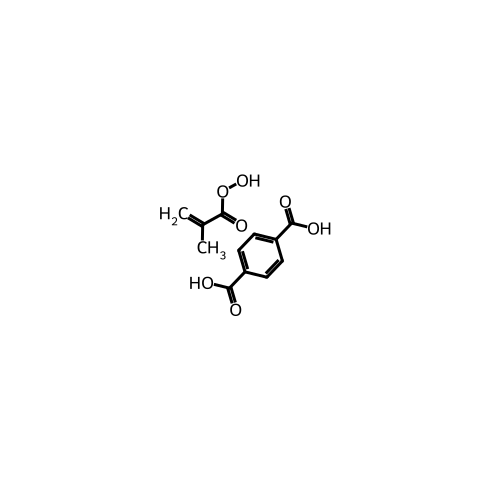 C=C(C)C(=O)OO.O=C(O)c1ccc(C(=O)O)cc1